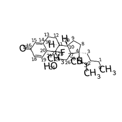 CCCC[C@@]1(SCC)CC[C@H]2[C@@H]3CCC4=CC(=O)C=C[C@]4(C)C3(F)[C@@H](O)C[C@@]21C